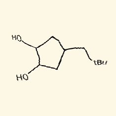 CC(C)(C)CC1CC(O)C(O)C1